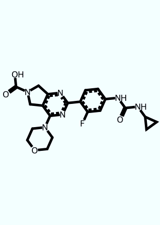 O=C(Nc1ccc(-c2nc3c(c(N4CCOCC4)n2)CN(C(=O)O)C3)c(F)c1)NC1CC1